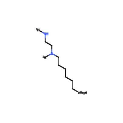 [2H]NCCN([2H])CCCCCCCCCCCCC